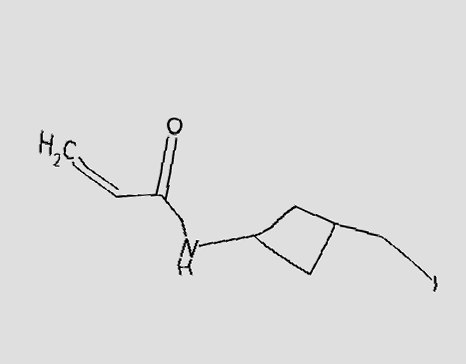 C=CC(=O)NC1CC(CI)C1